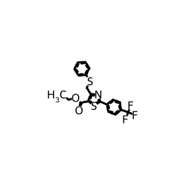 CCOC(=O)c1sc(-c2ccc(C(F)(F)F)cc2)nc1CSc1ccccc1